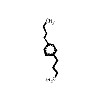 [CH2]CC[CH]c1ccc([CH]CC[CH2])cc1